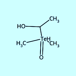 CC(O)[TeH](C)(C)=O